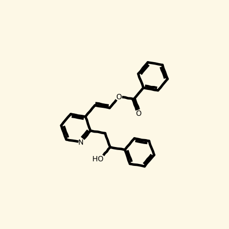 O=C(O/C=C/c1cccnc1CC(O)c1ccccc1)c1ccccc1